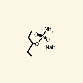 CCC(CC)OS(N)(=O)=O.[NaH]